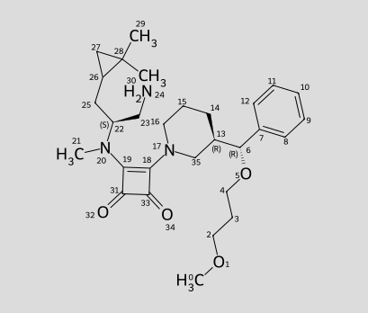 COCCCO[C@@H](c1ccccc1)[C@@H]1CCCN(c2c(N(C)[C@H](CN)CC3CC3(C)C)c(=O)c2=O)C1